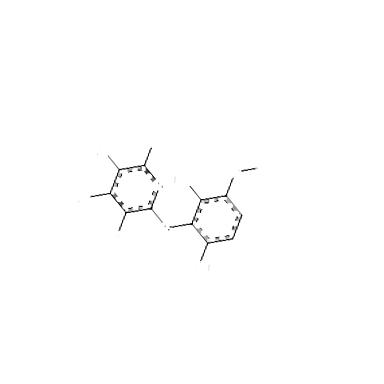 COc1ccc(C)c(Nc2nc(C)c(C)c(C)c2Br)c1C